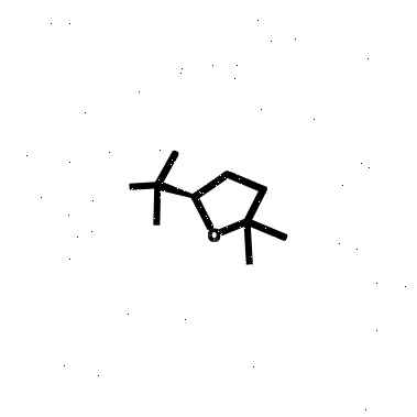 CC1(C)CC[C@H](C(C)(C)C)O1